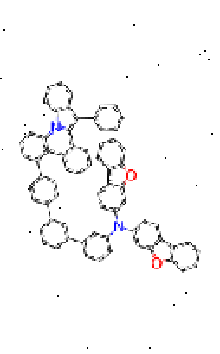 c1ccc(-c2c3ccccc3n3c4cccc(-c5ccc(-c6cccc(-c7cccc(N(c8ccc9c(c8)oc8ccccc89)c8ccc9c(c8)oc8ccccc89)c7)c6)cc5)c4c4ccccc4c23)cc1